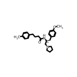 COc1ccc(C[C@@H](CN2CCCC2)NC(=O)CCCc2ccc(C)cc2)cc1